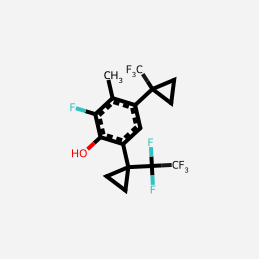 Cc1c(C2(C(F)(F)F)CC2)cc(C2(C(F)(F)C(F)(F)F)CC2)c(O)c1F